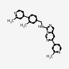 Cc1cc(-c2cc3cnc(NCc4ccc(-c5ccnc(C)c5)c(C)c4)n3cn2)ccn1